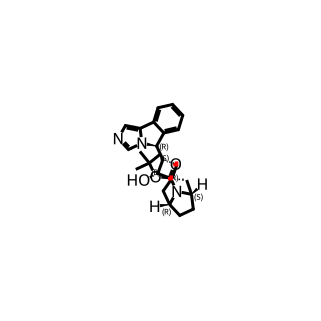 CC(C)(C)OC(=O)N1[C@@H]2CC[C@H]1C[C@]1(C[C@@H]([C@@H]3c4ccccc4-c4cncn43)[C@H]1O)C2